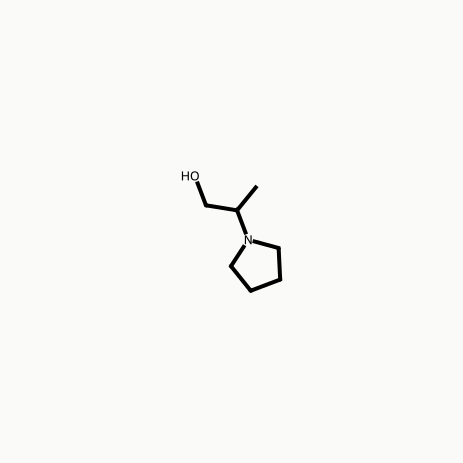 C[C](CO)N1CCCC1